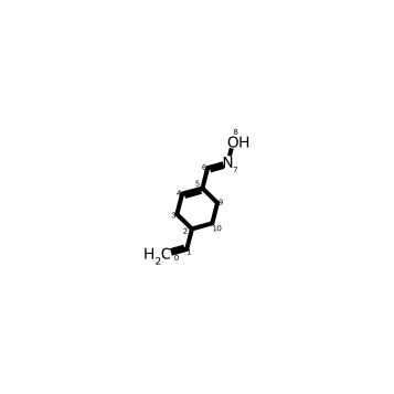 C=CC1CC=C(C=NO)CC1